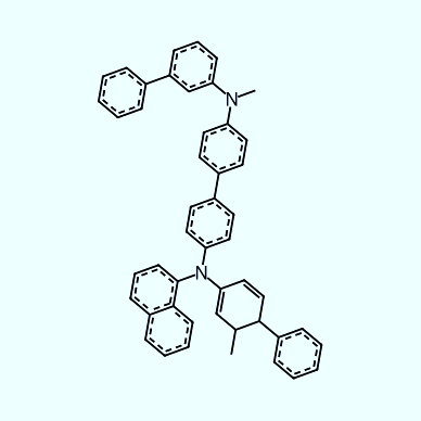 CC1C=C(N(c2ccc(-c3ccc(N(C)c4cccc(-c5ccccc5)c4)cc3)cc2)c2cccc3ccccc23)C=CC1c1ccccc1